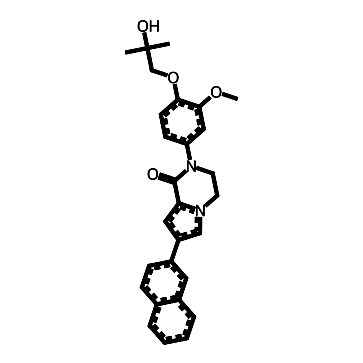 COc1cc(N2CCn3cc(-c4ccc5ccccc5c4)cc3C2=O)ccc1OCC(C)(C)O